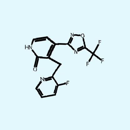 O=c1[nH]ccc(-c2noc(C(F)(F)F)n2)c1Cc1ncccc1F